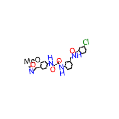 COc1cc(NC(=O)C(=O)Nc2cccc(CNC(=O)c3cccc(Cl)c3)c2)ccc1-c1cnco1